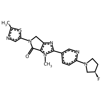 Cc1ncc(N2Cc3nc(-c4ccc(N5CC[C@@H](F)C5)nc4)n(C)c3C2=O)s1